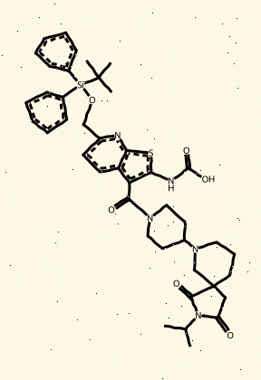 CC(C)N1C(=O)CC2(CCCN(C3CCN(C(=O)c4c(NC(=O)O)sc5nc(CO[Si](c6ccccc6)(c6ccccc6)C(C)(C)C)ccc45)CC3)C2)C1=O